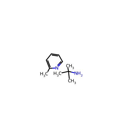 CC(C)(C)N.Cc1ccccn1